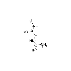 CC(C)NC(=O)CNC(=N)N